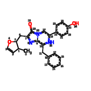 CC1C=COC1Cc1nc2c(Cc3ccccc3)[nH]c(-c3ccc(O)cc3)cn-2c1=O